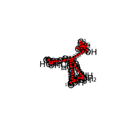 COc1ccc(C(OC[C@@H]2C[C@@H](O)CN2C(=O)CCCCCCCCCCC(=O)NC(COCCC(=O)NCCOCCOCCOC2OC(COC(C)=O)C(O)C(O)C2N)(COCCC(=O)NCCOCCOCCOC2OC(COC(C)=O)C(O)C(O)C2N)COCCC(=O)NCCOCCOCCOC2OC(COC(C)=O)C(O)C(O)C2N)(c2ccccc2)c2ccc(OC)cc2)cc1